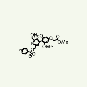 COC(=O)COc1cc(OC)c(-c2cc(CO)nc(COS(=O)(=O)c3ccc(C)cc3)c2)c(OC)c1